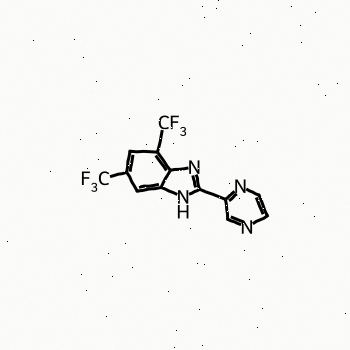 FC(F)(F)c1cc(C(F)(F)F)c2nc(-c3cnccn3)[nH]c2c1